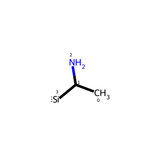 CC(N)[Si]